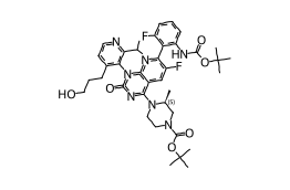 CC(C)c1nccc(CCCO)c1-n1c(=O)nc(N2CCN(C(=O)OC(C)(C)C)C[C@@H]2C)c2cc(F)c(-c3c(F)cccc3NC(=O)OC(C)(C)C)nc21